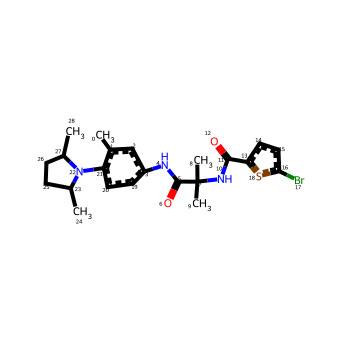 Cc1cc(NC(=O)C(C)(C)NC(=O)c2ccc(Br)s2)ccc1N1C(C)CCC1C